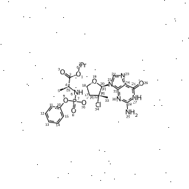 CC(C)OC(=O)[C@H](C)NP(=O)(Oc1ccccc1)O[C@@H]1CO[C@@H](n2cnc3c(=O)[nH]c(N)nc32)[C@]1(C)Cl